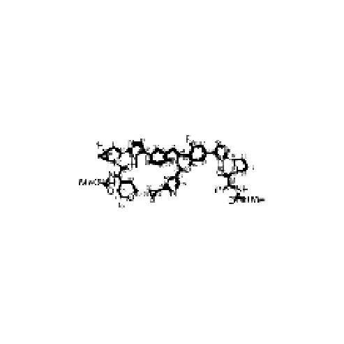 COC(=O)NC(C(=O)N1C2C[C@@H]2C[C@H]1c1ncc(-c2ccc3c(c2)cc2n3C(c3cnc(C4CC4)s3)Oc3cc(-c4cnc([C@@H]5CCCN5C(=O)[C@@H](NC(=O)OC)C(C)C)[nH]4)cc(F)c3-2)[nH]1)C1C[C@@H](C)O[C@@H](C)C1